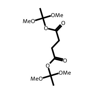 COC(C)(OC)OC(=O)CCC(=O)OC(C)(OC)OC